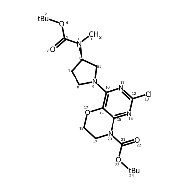 CN(C(=O)OC(C)(C)C)[C@@H]1CCN(c2nc(Cl)nc3c2OCCN3C(=O)OC(C)(C)C)C1